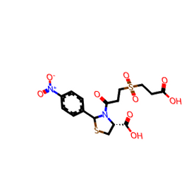 O=C(O)CCS(=O)(=O)CCC(=O)N1C(c2ccc([N+](=O)[O-])cc2)SC[C@H]1C(=O)O